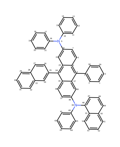 c1ccc(-c2c3ccc(N(c4ccccc4)c4ccccc4)cc3c(-c3ccc4ccccc4c3)c3ccc(N(c4ccccc4)c4cccc5ccccc45)cc23)cc1